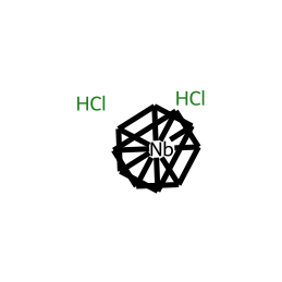 Cl.Cl.[CH]12[CH]3[CH]4[CH]5[CH]1[Nb]23451678[CH]2[CH]1[CH]6[CH]7[CH]28